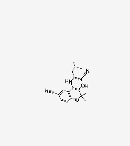 CC(C)CC(=NC#N)NC1c2cc(C#N)ccc2OC(C)(C)C1O